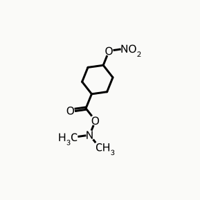 CN(C)OC(=O)C1CCC(O[N+](=O)[O-])CC1